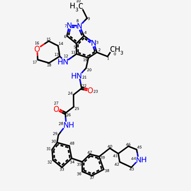 CCc1nc2c(cnn2CC)c(NC2CCOCC2)c1CNC(=O)CCC(=O)NCc1cccc(-c2cccc(CC3CCNCC3)c2)c1